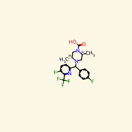 C[C@@H]1CN(C(=O)O)[C@@H](C)CN1C(c1ccc(F)cc1)c1ccc(F)c(C(F)(F)F)n1